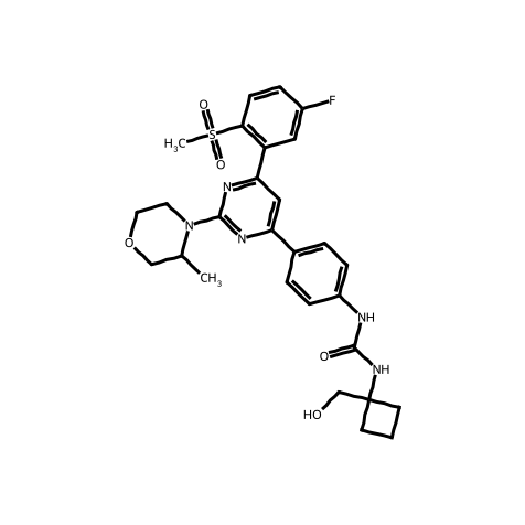 CC1COCCN1c1nc(-c2ccc(NC(=O)NC3(CO)CCC3)cc2)cc(-c2cc(F)ccc2S(C)(=O)=O)n1